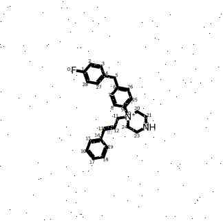 Fc1ccc(Cc2ccc([N+]3(C/C=C/c4ccccc4)CCNCC3)cc2)cc1